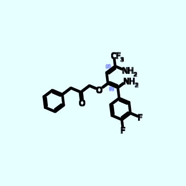 N/C(=C\C(OCC(=O)Cc1ccccc1)=C(/N)c1ccc(F)c(F)c1)C(F)(F)F